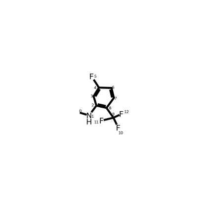 CNc1cc(F)ccc1C(F)(F)F